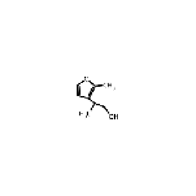 Cc1occc1C(C)CO